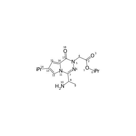 CC(C)OC(=O)Cn1nc(C(C)N)n2cc(C(C)C)cc2c1=O